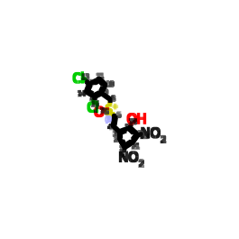 O=[N+]([O-])c1cc(/C=C/[S+]([O-])Cc2ccc(Cl)cc2Cl)c(O)c([N+](=O)[O-])c1